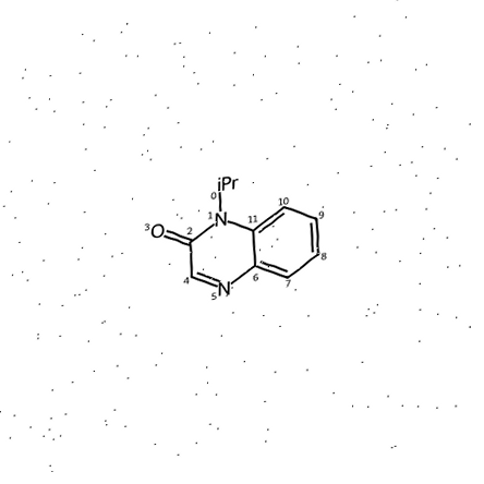 CC(C)n1c(=O)cnc2ccccc21